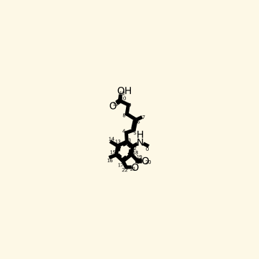 CNc1c(CC=C(C)CCC(=O)O)c(C)c(C)c2c1C(=O)OC2